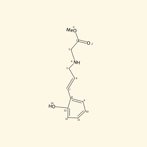 COC(=O)CNC/C=C/c1ccccc1O